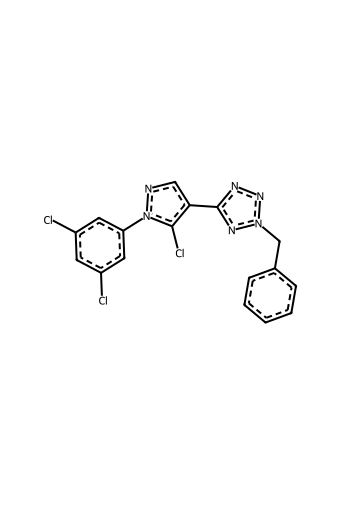 Clc1cc(Cl)cc(-n2ncc(-c3nnn(Cc4ccccc4)n3)c2Cl)c1